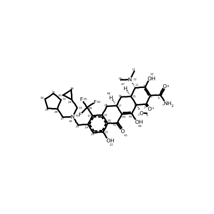 CO[C@@]12C(=O)C(C(N)=O)=C(O)[C@@H](N(C)C)[C@@H]1C[C@@H]1Cc3c(c(O)cc(CN(CC4CCCC4)CC4CC4)c3C(F)(F)F)C(=O)C1=C2O